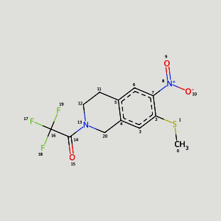 CSc1cc2c(cc1[N+](=O)[O-])CCN(C(=O)C(F)(F)F)C2